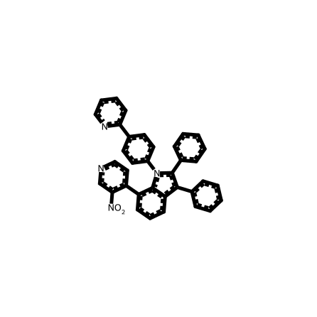 O=[N+]([O-])c1cnccc1-c1cccc2c(-c3ccccc3)c(-c3ccccc3)n(-c3ccc(-c4ccccn4)cc3)c12